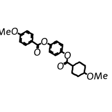 COc1ccc(C(=O)Oc2ccc(OC(=O)C3CCC(OC)CC3)cc2)cc1